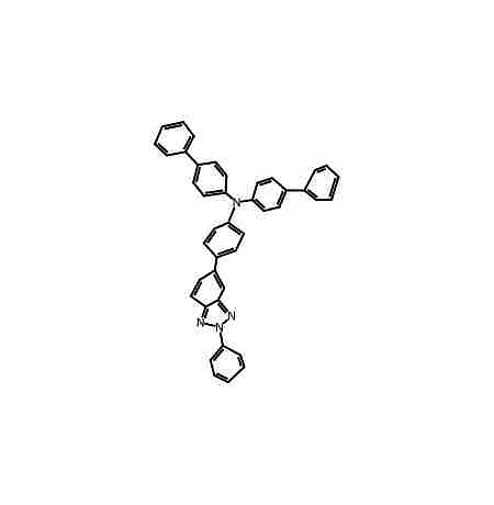 c1ccc(-c2ccc(N(c3ccc(-c4ccccc4)cc3)c3ccc(-c4ccc5nn(-c6ccccc6)nc5c4)cc3)cc2)cc1